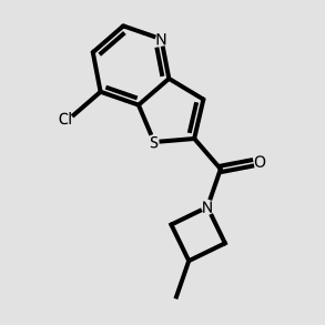 CC1CN(C(=O)c2cc3nccc(Cl)c3s2)C1